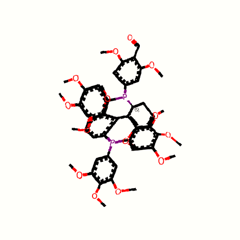 COC1=C(c2c(OC)cccc2P(c2cc(OC)c(OC)c(OC)c2)c2cc(OC)c(OC)c(OC)c2)[C@@H](P(c2cc(OC)c(C=O)c(OC)c2)c2cc(OC)c(OC)c(OC)c2)CC=C1